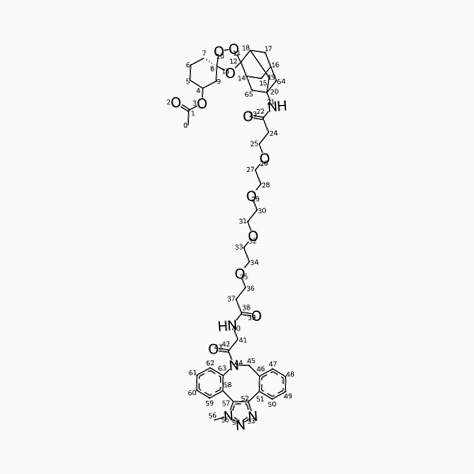 CC(=O)OC1CCC[C@]2(C1)OOC1(O2)C2CC3CC1CC(NC(=O)CCOCCOCCOCCOCCC(=O)NCC(=O)N1Cc4ccccc4-c4nnn(C)c4-c4ccccc41)(C3)C2